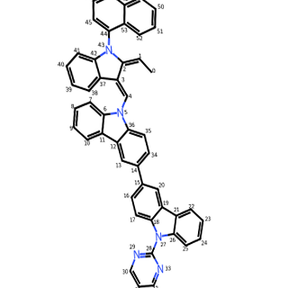 C/C=c1\c(=C\n2c3ccccc3c3cc(-c4ccc5c(c4)c4ccccc4n5-c4ncccn4)ccc32)c2ccccc2n1-c1cccc2ccccc12